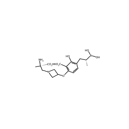 C[C@H](Cc1ccc(OC2CN(C[C@@](C)(N)C(=O)O)C2)c(C(=O)O)c1O)B(O)O